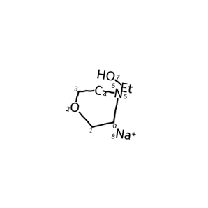 C1COCC[N-]1.CCO.[Na+]